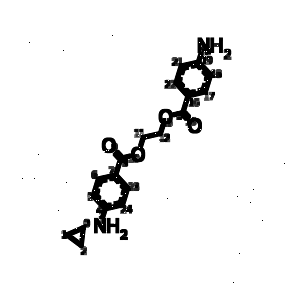 C1CC1.Nc1ccc(C(=O)OCCOC(=O)c2ccc(N)cc2)cc1